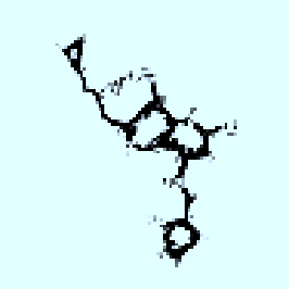 N[C@H](Cc1oc2c(NCc3cccs3)cc(Cl)nc2c1Cl)CC1CC1